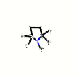 [CH2]CCN1[Si](C(C)C)(C(C)C)CC[Si]1(C(C)C)C(C)C